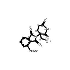 CC(=O)Nc1cccc2c1C(=O)N(C1(CN)CCC(=O)NC1=O)C2=O